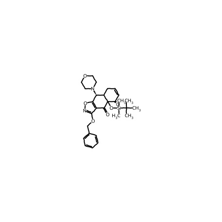 CC(C)(C)[Si](C)(C)OC12C(=O)C=CCC1[C@H](N1CCOCC1)c1onc(OCc3ccccc3)c1C2=O